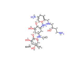 CN[C@@H]1[C@@H](O)[C@@H](O[C@H]2[C@H](NC=O)C[C@H](N)C(O[C@H]3OC(CNCC(O)CCN)=CC[C@H]3N)[C@@H]2O)OC[C@]1(C)O